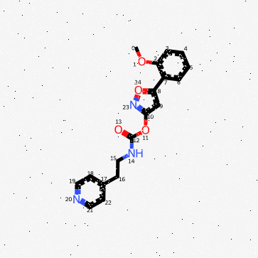 COc1ccccc1-c1cc(OC(=O)NCCc2ccncc2)no1